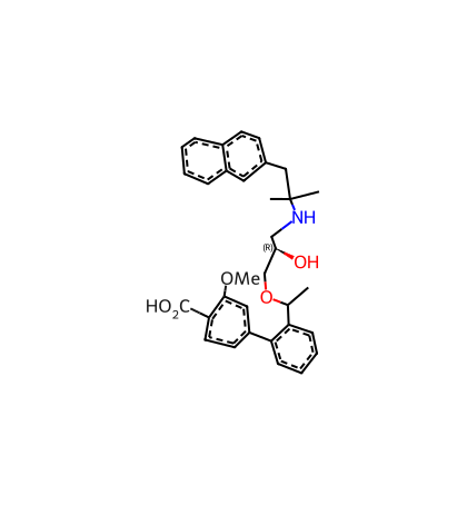 COc1cc(-c2ccccc2C(C)OC[C@H](O)CNC(C)(C)Cc2ccc3ccccc3c2)ccc1C(=O)O